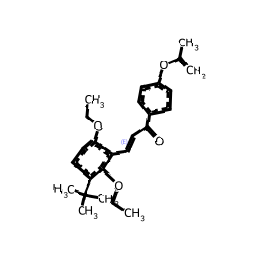 C=C(C)Oc1ccc(C(=O)/C=C/c2c(OCC)ccc(C(C)(C)C)c2OCC)cc1